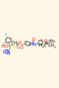 C[C@@H](S[C@H]1CO[C@H](c2ccc(C(=O)Nc3ccc(O[Si](C)(C)C(C)(C)C)cc3)cc2)OC1)[C@](O)(Cn1cncn1)c1ccc(F)cc1F